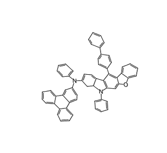 C1=C2c3c(cc4oc5ccccc5c4c3-c3ccc(-c4ccccc4)cc3)N(c3ccccc3)C2CC(N(c2ccccc2)c2ccc3c4ccccc4c4ccccc4c3c2)=C1